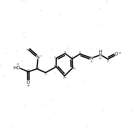 C=NC(Cc1ccc(/C=N/NC=O)cc1)C(=O)O